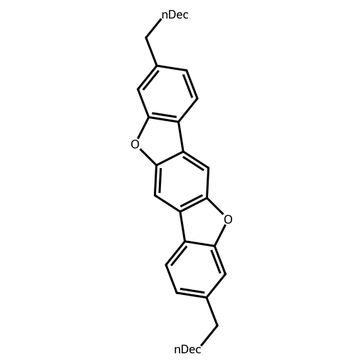 CCCCCCCCCCCc1ccc2c(c1)oc1cc3c(cc12)oc1cc(CCCCCCCCCCC)ccc13